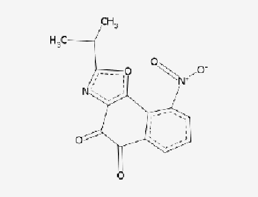 CC(C)c1nc2c(o1)-c1c(cccc1[N+](=O)[O-])C(=O)C2=O